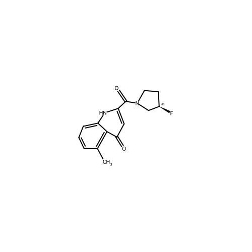 Cc1cccc2[nH]c(C(=O)N3CC[C@@H](F)C3)cc(=O)c12